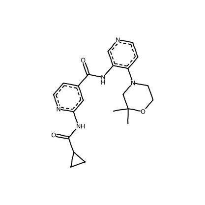 CC1(C)CN(c2ccncc2NC(=O)c2ccnc(NC(=O)C3CC3)c2)CCO1